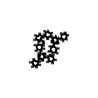 c1ccc(-c2cc(-c3cccc(-c4cccc5c4sc4cc(-c6nc(-c7ccccc7)nc(-c7ccccc7)n6)ccc45)c3)nc(-c3ccccc3)n2)cc1